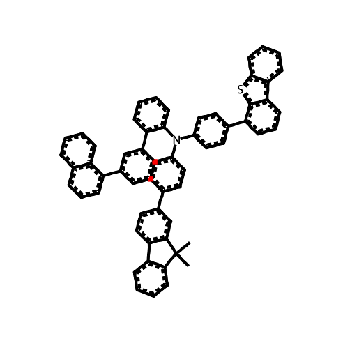 CC1(C)c2ccccc2-c2ccc(-c3ccc(N(c4ccc(-c5cccc6c5sc5ccccc56)cc4)c4ccccc4-c4cccc(-c5cccc6ccccc56)c4)cc3)cc21